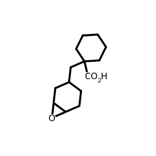 O=C(O)C1(CC2CCC3OC3C2)CCCCC1